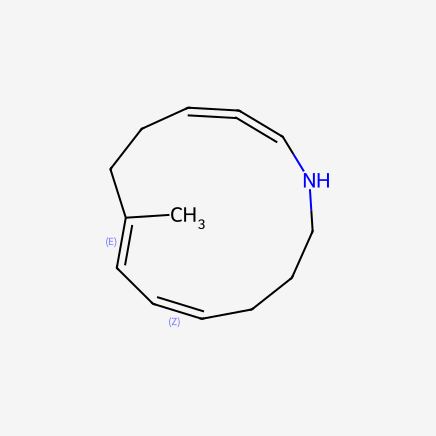 C/C1=C\C=C/CCCNC=C=CCC1